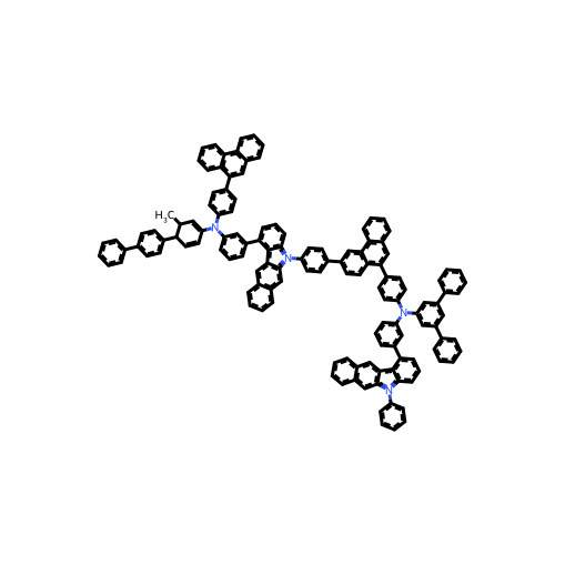 CC1C=C(N(c2ccc(-c3cc4ccccc4c4ccccc34)cc2)c2cccc(-c3cccc4c3c3cc5ccccc5cc3n4-c3ccc(-c4ccc5c(-c6ccc(N(c7cc(-c8ccccc8)cc(-c8ccccc8)c7)c7cccc(-c8cccc9c8c8cc%10ccccc%10cc8n9-c8ccccc8)c7)cc6)cc6ccccc6c5c4)cc3)c2)C=CC1c1ccc(-c2ccccc2)cc1